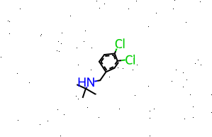 CC(C)(C)NCc1ccc(Cl)c(Cl)c1